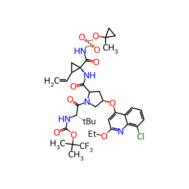 C=CC1C[C@]1(NC(=O)C1C[C@@H](Oc2cc(OCC)nc3c(Cl)cccc23)CN1C(=O)[C@@H](NC(=O)OC(C)(C)C(F)(F)F)C(C)(C)C)C(=O)NS(=O)(=O)OC1(C)CC1